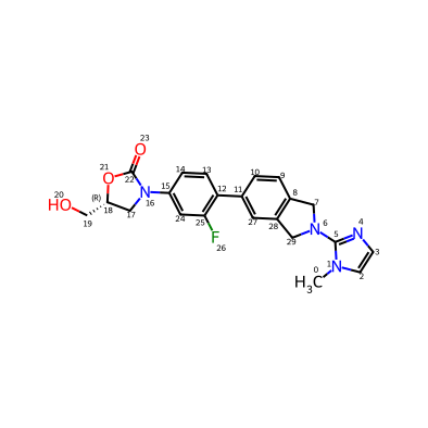 Cn1ccnc1N1Cc2ccc(-c3ccc(N4C[C@H](CO)OC4=O)cc3F)cc2C1